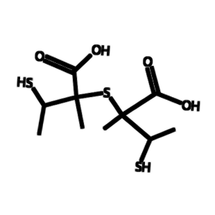 CC(S)C(C)(SC(C)(C(=O)O)C(C)S)C(=O)O